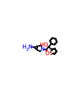 NC1C2CN(C(=O)C(O)(c3ccccc3)c3cccs3)CC12